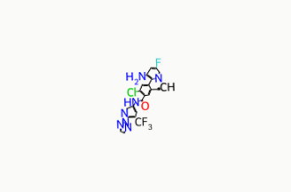 C#Cc1cc(C(=O)Nc2cnc(-n3nccn3)c(C(F)(F)F)c2)c(Cl)cc1-c1ncc(F)cc1N